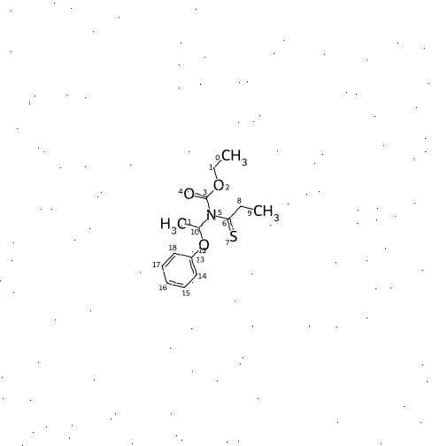 CCOC(=O)N(C(=S)CC)C(C)Oc1ccccc1